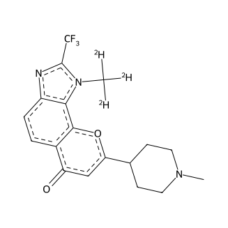 [2H]C([2H])([2H])n1c(C(F)(F)F)nc2ccc3c(=O)cc(C4CCN(C)CC4)oc3c21